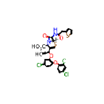 C#CC(Oc1cc(Cl)ccc1Oc1ccc(Cl)cc1Cl)C1=CS[C@H]2C(NC(=O)Cc3cccs3)C(=O)N2C1C(=O)O